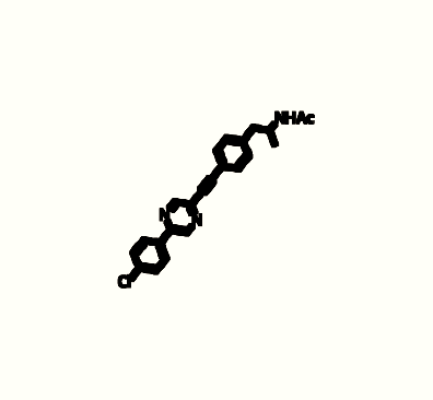 CC(=O)NC(C)Cc1ccc(C#Cc2cnc(-c3ccc(Cl)cc3)cn2)cc1